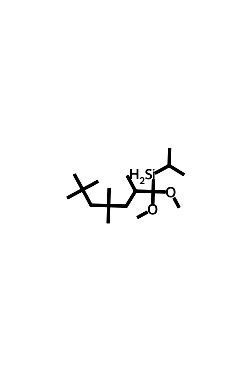 COC(OC)([SiH2]C(C)C)C(C)CC(C)(C)CC(C)(C)C